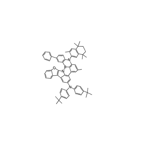 Cc1cc2c3c(c1)N(c1cc4c(cc1C)C(C)(C)CCC4(C)C)c1ccc(-c4ccccc4)cc1B3n1c3oc4ccccc4c3c3cc(N(c4ccc(C(C)(C)C)cc4)c4ccc(C(C)(C)C)cc4)cc-2c31